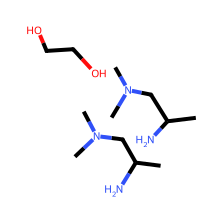 CC(N)CN(C)C.CC(N)CN(C)C.OCCO